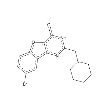 O=c1[nH]c(CN2CCCCC2)nc2c1oc1ccc(Br)cc12